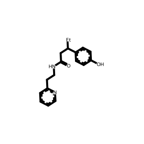 CCC(CC(=O)NCCc1ccccn1)c1ccc(O)cc1